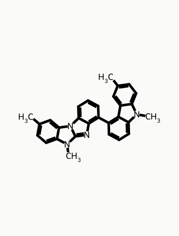 Cc1ccc2c(c1)c1c(-c3cccc4c3nc3n(C)c5ccc(C)cc5n43)cccc1n2C